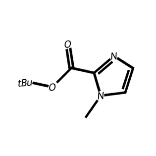 Cn1ccnc1C(=O)OC(C)(C)C